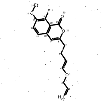 C=CCO/C=C/CCc1cc2ccc(OCC)c(F)c2c(=O)o1